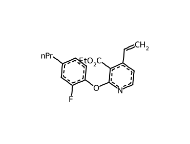 C=Cc1ccnc(Oc2ccc(CCC)cc2F)c1C(=O)OCC